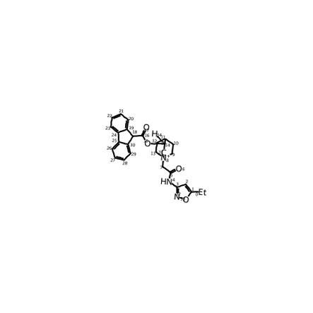 CCc1cc(NC(=O)C[N+]23CCC(CC2)[C@@H](OC(=O)C2c4ccccc4-c4ccccc42)C3)no1